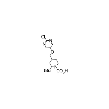 CC(C)(C)C1CC(COc2cnc(Cl)nc2)CCN1C(=O)O